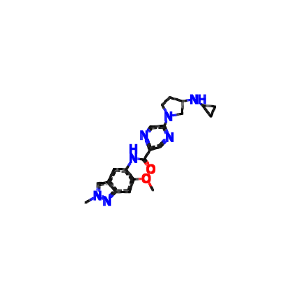 COc1cc2nn(C)cc2cc1NC(=O)c1cnc(N2CCC(NC3CC3)C2)cn1